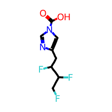 O=C(O)n1cnc(CC(F)C(F)CF)c1